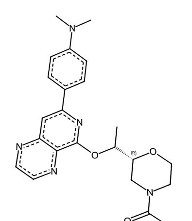 CC(=O)N1CCO[C@@H](C(C)Oc2nc(-c3ccc(N(C)C)cc3)cc3nccnc23)C1